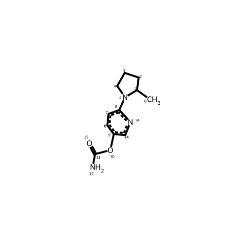 CC1CCCN1c1ccc(OC(N)=O)cn1